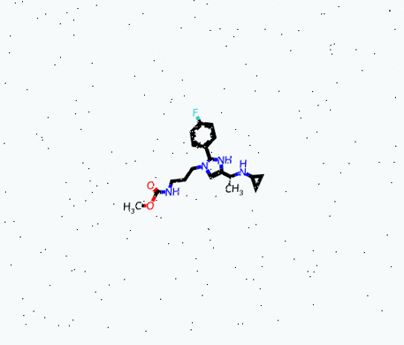 COC(=O)NCCCN1C=C([C@@H](C)NC2CC2)NC1c1ccc(F)cc1